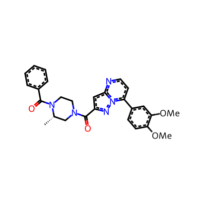 COc1ccc(-c2ccnc3cc(C(=O)N4CCN(C(=O)c5ccccc5)[C@@H](C)C4)nn23)cc1OC